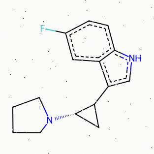 Fc1ccc2[nH]cc(C3C[C@@H]3N3CCCC3)c2c1